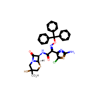 Nc1nc(C(=NOC(c2ccccc2)(c2ccccc2)c2ccccc2)C(=O)N[C@@H]2C(=O)N3CC(S)(C(=O)O)CS[C@H]23)c(Cl)s1